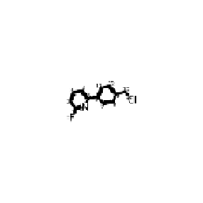 Fc1cccc(-c2ccc(CCl)cc2)n1